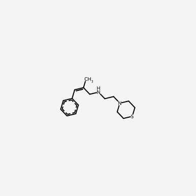 CC(=Cc1ccccc1)CNCCN1CCSCC1